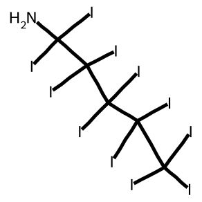 NC(I)(I)C(I)(I)C(I)(I)C(I)(I)C(I)(I)I